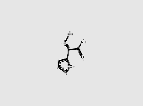 [NH]C(=O)C(=NO)c1ccco1